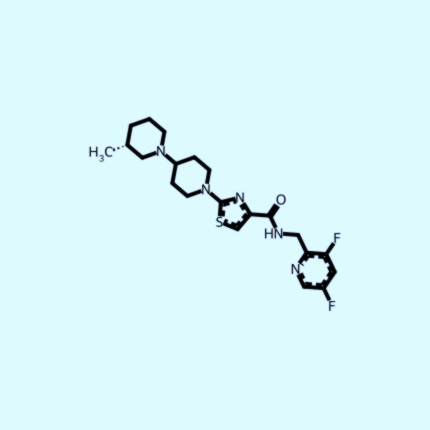 C[C@@H]1CCCN(C2CCN(c3nc(C(=O)NCc4ncc(F)cc4F)cs3)CC2)C1